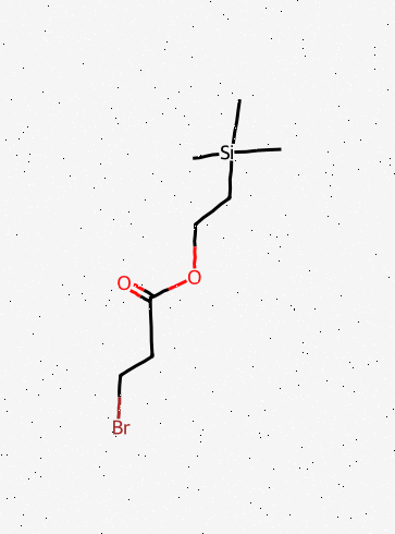 C[Si](C)(C)CCOC(=O)CCBr